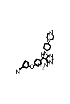 CN1CCN(C2CCC(n3nc(-c4ccc(Oc5cccc(C#N)c5)cc4)c4c(N)ncnc43)CC2)CC1